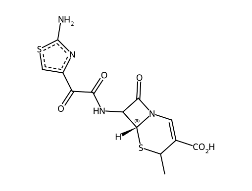 CC1S[C@@H]2C(NC(=O)C(=O)c3csc(N)n3)C(=O)N2C=C1C(=O)O